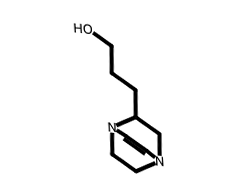 OCCCC1CN2C=CN1CC2